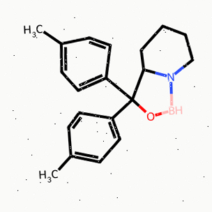 Cc1ccc(C2(c3ccc(C)cc3)OBN3CCCCC32)cc1